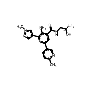 Cc1ccc(-c2cc(C(=O)NC[C@H](O)C(F)(F)F)c(N)c(-c3cnn(C)c3)n2)cn1